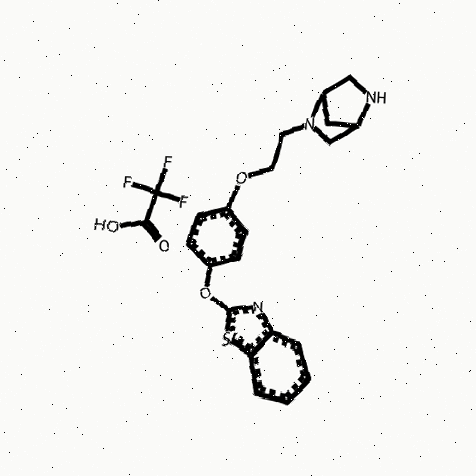 O=C(O)C(F)(F)F.c1ccc2sc(Oc3ccc(OCCN4CC5CC4CN5)cc3)nc2c1